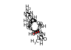 Cc1nc2c(ncn2[C@@H]2O[C@@H]3CO[P@@](=O)(S)O[C@H]4[C@@H](O)[C@H](n5cnc6c(N)ncnc65)[C@H]5CC54COP(=O)(S)O[C@@H]2[C@@H]3CO)c(=O)[nH]1